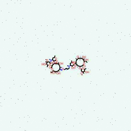 CC[C@H]1OC(=O)[C@H](C)[C@@H](OC2CC(C)(OC)C(O)C(C)O2)[C@H](C)[C@@H](OC2OC(C)CC(N(C)C/C=C/CON=C3[C@H](C)CC(C)(O)[C@H](OC4OC(C)CC(N(C)C)C4O)[C@@H](C)[C@H](OC4CC(C)(OC)C(O)C(C)O4)[C@@H](C)C(=O)O[C@H](CC)[C@@](C)(O)[C@H](O)[C@H]3C)C2O)C(C)(O)C[C@@H](C)C(=O)[C@H](C)[C@@H](O)[C@]1(C)O